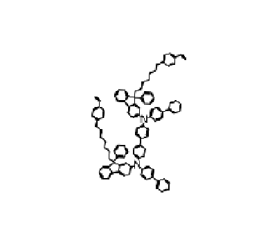 C=Cc1ccc(CCCCCCCC2(c3ccccc3)c3ccccc3-c3ccc(N(c4ccc(-c5ccccc5)cc4)c4ccc(-c5ccc(N(c6ccc(-c7ccccc7)cc6)c6ccc7c(c6)C(CCCCCCCc6ccc(C=C)cc6)(c6ccccc6)c6ccccc6-7)cc5)cc4)cc32)cc1